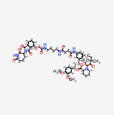 CCC(C)(C)C(=O)C(=O)N1CCCC[C@H]1C(=O)O[C@H](CCc1ccc(OC)c(OC)c1)c1cccc(NC(=O)CCC(=O)NCCCCNC(=O)COc2cccc3c2C(=O)N(C2CCCC(=O)NC2=O)C3=O)c1